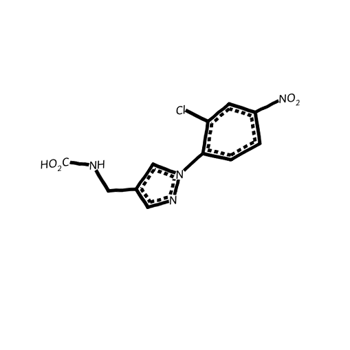 O=C(O)NCc1cnn(-c2ccc([N+](=O)[O-])cc2Cl)c1